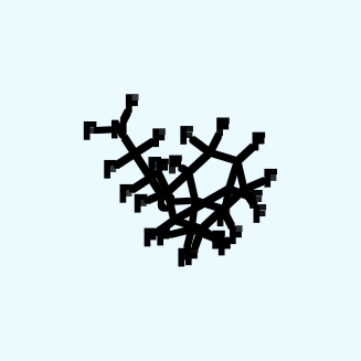 FN(F)C(F)(F)C(F)(F)OC1(C(F)(F)F)C2(F)C(F)(F)C3(F)C(F)(F)C(F)(C2(F)F)C(F)(F)C1(F)C3(F)F